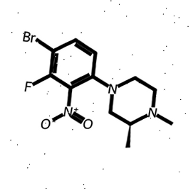 C[C@H]1CN(c2ccc(Br)c(F)c2[N+](=O)[O-])CCN1C